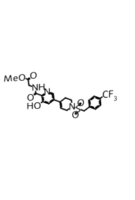 COC(=O)CNC(=O)c1ncc(C2=CCN(S(=O)(=O)Cc3ccc(C(F)(F)F)cc3)CC2)cc1O